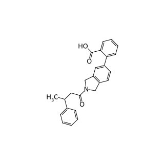 CC(CC(=O)N1Cc2ccc(-c3ccccc3C(=O)O)cc2C1)c1ccccc1